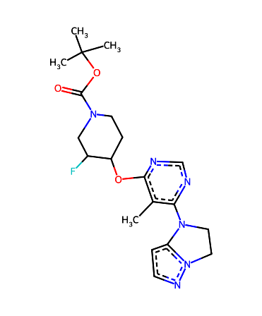 Cc1c(OC2CCN(C(=O)OC(C)(C)C)CC2F)ncnc1N1CCn2nccc21